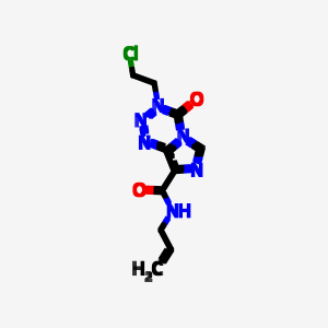 C=CCNC(=O)c1ncn2c(=O)n(CCCl)nnc12